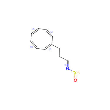 O=[SH]/N=C/CCC1=C/C=C\C=C/C=C\1